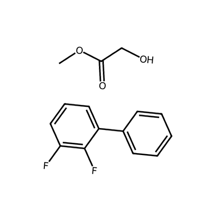 COC(=O)CO.Fc1cccc(-c2ccccc2)c1F